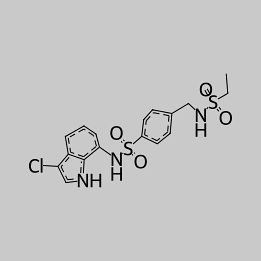 CCS(=O)(=O)NCc1ccc(S(=O)(=O)Nc2cccc3c(Cl)c[nH]c23)cc1